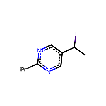 CC(C)c1ncc(C(C)I)cn1